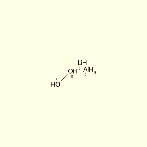 OO.[AlH3].[LiH]